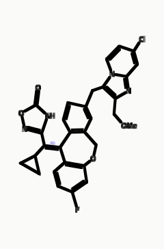 COCc1nc2cc(Cl)ccn2c1Cc1ccc2c(c1)COc1cc(F)ccc1/C2=C(/c1noc(=O)[nH]1)C1CC1